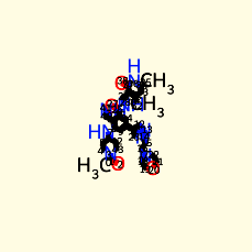 CC(=O)N1CCC(Nc2cc(-c3cnn(CCN4CCOCC4)c3)cc(C(=O)NCc3c(C)cc(C)[nH]c3=O)c2C=N)CC1